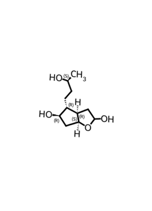 C[C@H](O)CC[C@@H]1[C@H]2CC(O)O[C@H]2C[C@H]1O